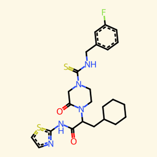 O=C(Nc1nccs1)C(CC1CCCCC1)N1CCN(C(=S)NCc2cccc(F)c2)CC1=O